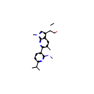 CC[C@H](CO)c1cn(C)c2nc(-c3ccc(C(C)C)nc3NC)c(C)cc12